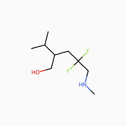 CNCC(F)(F)CC(CO)C(C)C